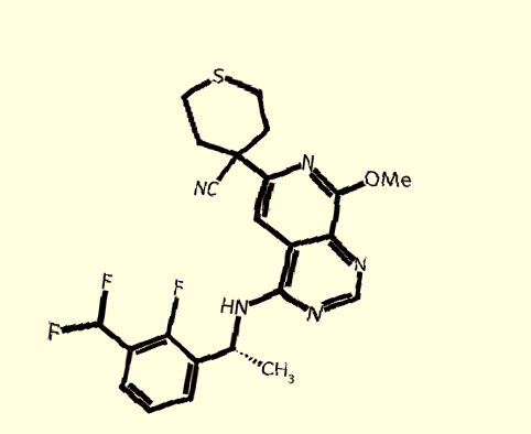 COc1nc(C2(C#N)CCSCC2)cc2c(N[C@H](C)c3cccc(C(F)F)c3F)ncnc12